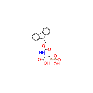 O=C(N[C@@H](CSS(=O)(=O)O)C(=O)O)OCC1c2ccccc2-c2ccccc21